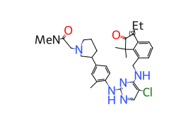 CC[C@@H]1C(=O)C(C)(C)c2c(CNc3nc(Nc4ccc(C5CCCN(CC(=O)NC)C5)cc4C)ncc3Cl)cccc21